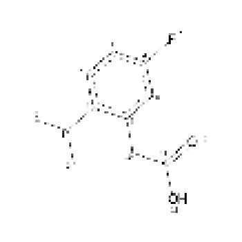 CC(C)c1ccc(F)cc1CC(=O)O